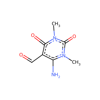 Cn1c(N)c(C=O)c(=O)n(C)c1=O